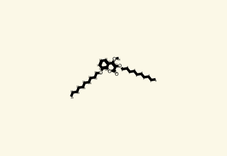 CCCCCCCCCCOc1c(OC)c2cccc(OCCCCCCCCCC)c2oc1=O